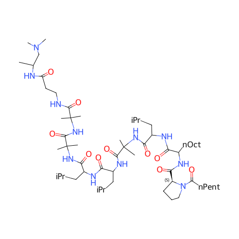 CCCCCCCCC(NC(=O)[C@@H]1CCCN1C(=O)CCCCC)C(=O)NC(CC(C)C)C(=O)NC(C)(C)C(=O)NC(CC(C)C)C(=O)NC(CC(C)C)C(=O)NC(C)(C)C(=O)NC(C)(C)C(=O)NCCC(=O)NC(C)CN(C)C